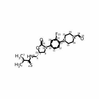 CC(C)C(=S)NC[C@H]1CN(c2ccc(N3CCN(C=O)CC3)c(F)c2)C(=O)O1